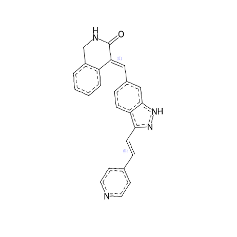 O=C1NCc2ccccc2/C1=C\c1ccc2c(/C=C/c3ccncc3)n[nH]c2c1